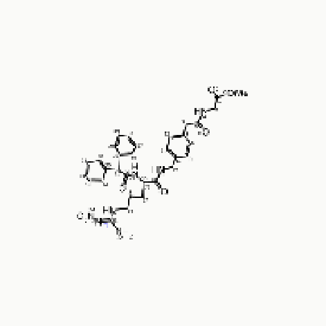 COC(=O)CNC(=O)Cc1ccc(CNC(=O)[C@@H](CCCN/C(N)=N\[N+](=O)[O-])NC(=O)C(c2ccccc2)c2ccccc2)cc1